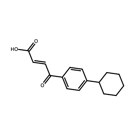 O=C(O)C=CC(=O)c1ccc(C2CCCCC2)cc1